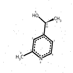 Cc1cc([C@H](C)O)ccn1